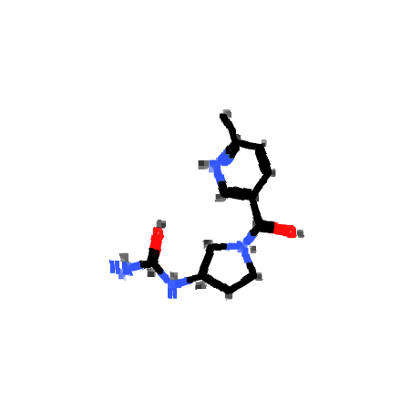 Cc1ccc(C(=O)N2CC[C@@H](NC(N)=O)C2)cn1